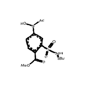 COC(=O)c1ccc(N(O)C(C)=O)cc1S(=O)(=O)NC(C)(C)C